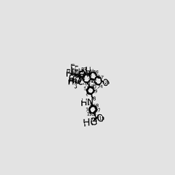 C[C@]12C[C@H](c3ccc(CNc4ccc(C(=O)O)cc4)cc3)C3=C4CCC(=O)C=C4CC[C@H]3[C@@H]1CC[C@@]2(O)C(F)(F)C(F)(F)F